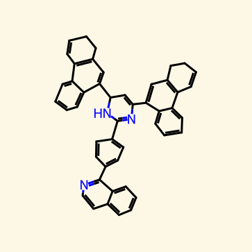 C1=Cc2c(cc(C3=CC(c4cc5c(c6ccccc46)C=CCC5)NC(c4ccc(-c5nccc6ccccc56)cc4)=N3)c3ccccc23)CC1